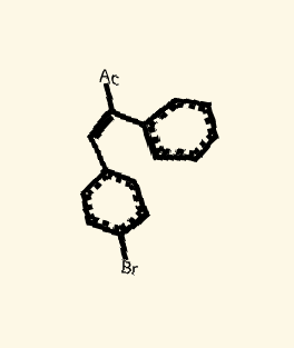 CC(=O)/C(=C/c1ccc(Br)cc1)c1ccccc1